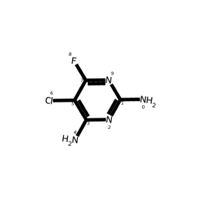 Nc1nc(N)c(Cl)c(F)n1